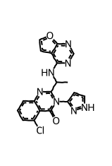 CC(Nc1ncnc2occc12)c1nc2cccc(Cl)c2c(=O)n1-c1cc[nH]n1